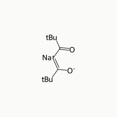 CC(C)(C)C(=O)C=C([O-])C(C)(C)C.[Na+]